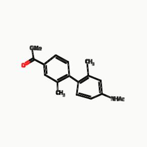 COC(=O)c1ccc(-c2ccc(NC(C)=O)cc2C)c(C)c1